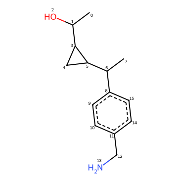 CC(O)C1CC1C(C)c1ccc(CN)cc1